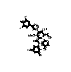 CO[C@@H]1[C@@H](n2cc(-c3cc(F)c(C)c(F)c3)nn2)[C@@H](O)[C@@H](CO)O[C@H]1C(=O)N(c1cc(Br)cc(Br)c1)[C@@H]1COC[C@H]1O